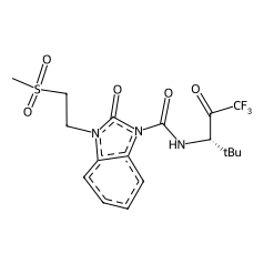 CC(C)(C)[C@H](NC(=O)n1c(=O)n(CCS(C)(=O)=O)c2ccccc21)C(=O)C(F)(F)F